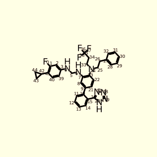 Fc1cc(NCNc2cc(-c3ccccc3-c3nnn[nH]3)ccc2N(CCc2ccccc2)CCC(F)(F)F)ccc1C1CC1